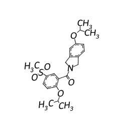 CC(C)Oc1ccc2c(c1)CN(C(=O)c1cc(S(C)(=O)=O)ccc1OC(C)C)C2